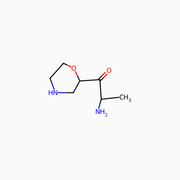 CC(N)C(=O)C1CNCCO1